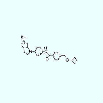 CC(=O)N1CC2CCN(c3ccc(NC(=O)c4ccc(COC5CCC5)cc4)cc3)C2C1